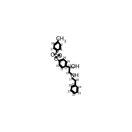 Cc1ccc(S(=O)(=O)Oc2ccc([C@H](O)CNCCc3ccccc3)cc2)cc1